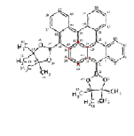 CC1(C)OB(c2c3ccccc3c(-c3ccccc3-c3c4ccccc4c(B4OC(C)(C)C(C)(C)O4)c4ccccc34)c3ccccc23)OC1(C)C